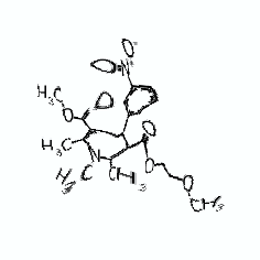 COCCOC(=O)C1=C(C)N(C)C(C)=C(C(=O)OC)C1c1cccc([N+](=O)[O-])c1